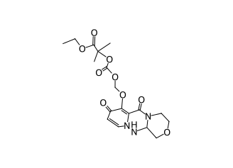 CCOC(=O)C(C)(C)OC(=O)OCOc1c2n(ccc1=O)NC1COCCN1C2=O